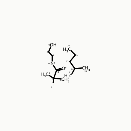 CC(C)(I)C(=O)NCCO.CCCC(C)C